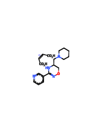 O=C(O)/C=C\C(=O)O.c1cncc(C2=NOCC(CN3CCCCC3)N2)c1